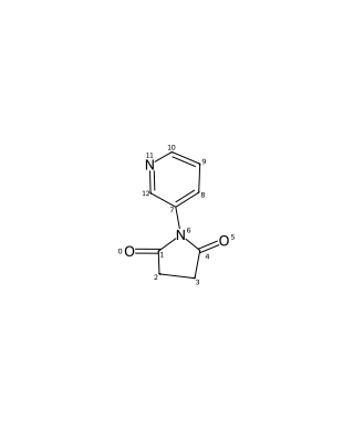 O=C1CCC(=O)N1c1cccnc1